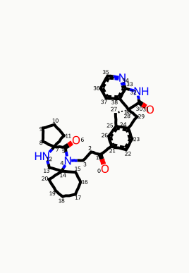 O=C(CCN1C(=O)C2(CCCC2)NCC12CCCCCC2)c1ccc2c(c1)C[C@@]1(C2)C(=O)Nc2ncccc21